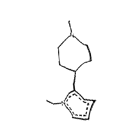 CN1CCC(c2cccn2C)CC1